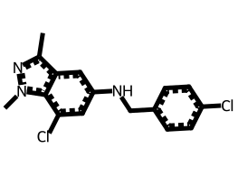 Cc1nn(C)c2c(Cl)cc(NCc3ccc(Cl)cc3)cc12